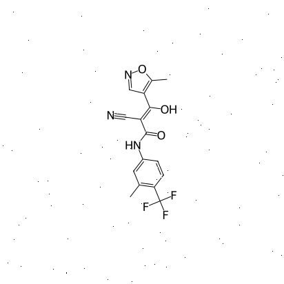 Cc1cc(NC(=O)/C(C#N)=C(\O)c2cnoc2C)ccc1C(F)(F)F